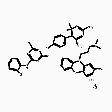 CC1(C)N=C(N)N=C(N)N1c1ccc(Cl)cc1.CN(C)CCCN1c2ccccc2Sc2ccc(Cl)cc21.Cl.Cl.Cl.Clc1nc(Cl)nc(Nc2ccccc2Cl)n1